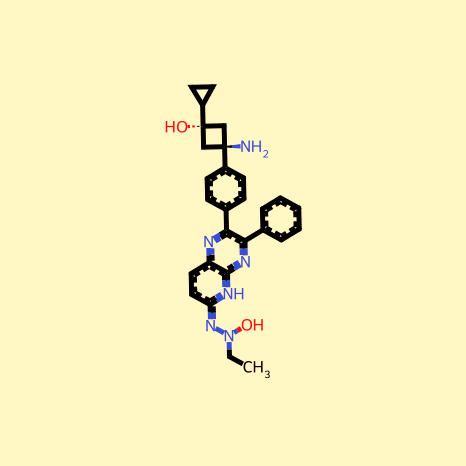 CCN(O)/N=c1/ccc2nc(-c3ccc([C@]4(N)C[C@@](O)(C5CC5)C4)cc3)c(-c3ccccc3)nc2[nH]1